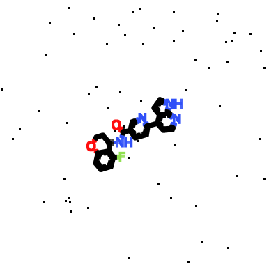 O=C(N[C@H]1CCOc2cccc(F)c21)c1ccc(-c2ccnc3[nH]ccc23)nc1